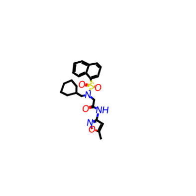 Cc1cc(NC(=O)CN(CC2CCCCC2)S(=O)(=O)c2cccc3ccccc23)no1